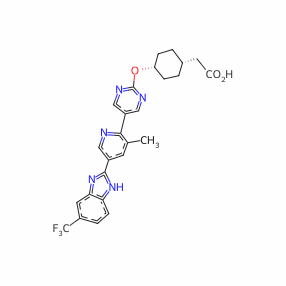 Cc1cc(-c2nc3cc(C(F)(F)F)ccc3[nH]2)cnc1-c1cnc(O[C@H]2CC[C@@H](CC(=O)O)CC2)nc1